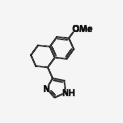 COc1ccc2c(c1)CCCC2c1c[nH]cn1